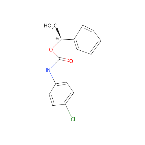 O=C(Nc1ccc(Cl)cc1)O[C@@H](C(=O)O)c1ccccc1